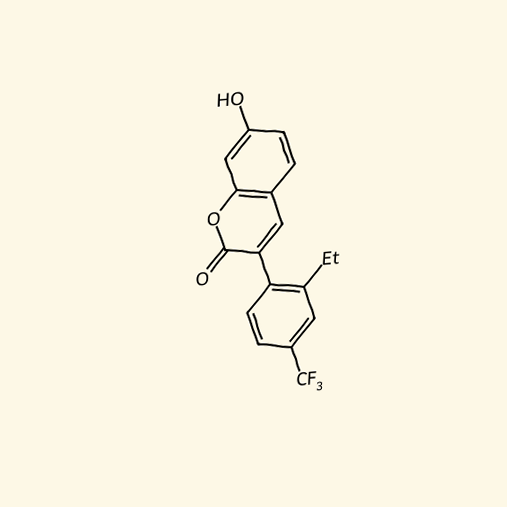 CCc1cc(C(F)(F)F)ccc1-c1cc2ccc(O)cc2oc1=O